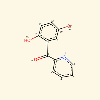 O=C(c1ccccn1)c1cc(Br)ccc1O